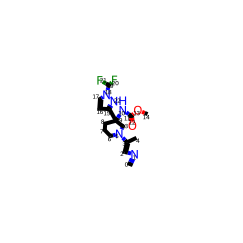 C=N/C=C(\C)N1CCCC(NC(=O)OC)(c2ccn(C(F)F)n2)C1